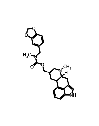 CN(Cc1ccc2c(c1)OCO2)C(=O)OC[C@@H]1CC2c3cccc4[nH]cc(c34)C[C@H]2N(C)C1